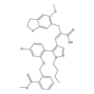 CCCCn1ncc(C=C(Cc2cc3c(cc2OC)CCO3)C(=O)O)c1-c1ccc(Cl)cc1OCc1ccccc1C(=O)OC